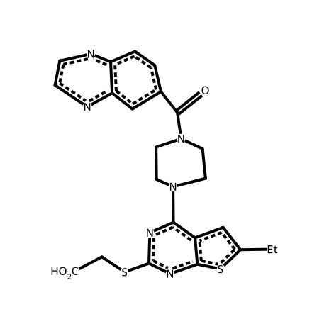 CCc1cc2c(N3CCN(C(=O)c4ccc5nccnc5c4)CC3)nc(SCC(=O)O)nc2s1